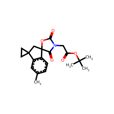 Cc1ccc2c(c1)C1(CC1)CC21OC(=O)N(CC(=O)OC(C)(C)C)C1=O